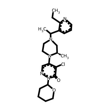 CCc1ncccc1C(C)N1CCN(c2cnn(C3CCCCO3)c(=O)c2Cl)[C@H](C)C1